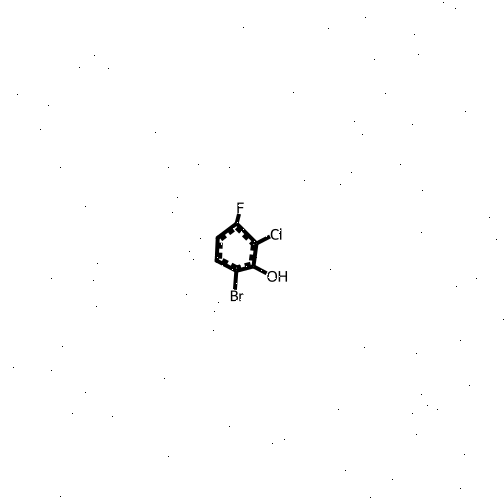 Oc1c(Br)ccc(F)c1Cl